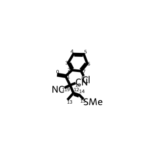 C=C(c1ccccc1Cl)C(C#N)(C#N)C(C)=CSC